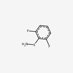 NSc1c(F)cccc1F